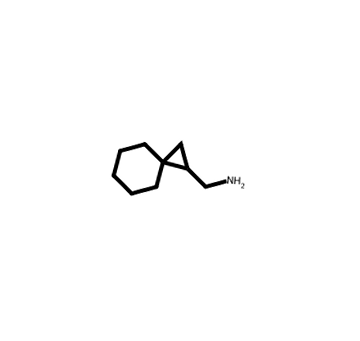 NCC1CC12CCCCC2